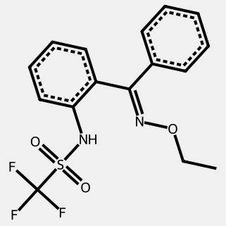 CCO/N=C(\c1ccccc1)c1ccccc1NS(=O)(=O)C(F)(F)F